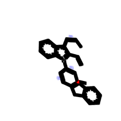 C=Cc1c(/C=C\C)c2ccccc2n1C(/C=C\C1=Cc2ccccc2C1)=C/CC